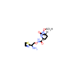 NC(CONC(=O)[C@@H]1CC[C@@H]2CN1C(=O)N2OS(=O)(=O)O)c1nccs1